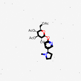 CC(=O)OC[C@H]1O[C@@H](Oc2ccc([C@H]3CCCN3C)cn2)[C@H](OC(C)=O)[C@@H](OC(C)=O)[C@@H]1OC(C)=O